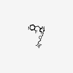 C[Si](C)(C)CCOCn1cnc(Cc2ccncc2F)c1